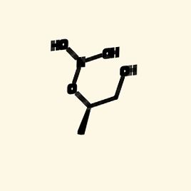 C[C@H](CO)ON(O)O